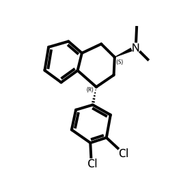 CN(C)[C@@H]1Cc2ccccc2[C@@H](c2ccc(Cl)c(Cl)c2)C1